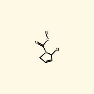 CCOC(=O)N1CC=CC1Cl